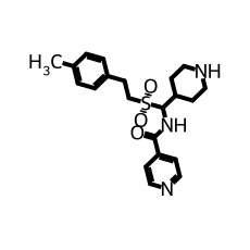 Cc1ccc(CCS(=O)(=O)C(NC(=O)c2ccncc2)C2CCNCC2)cc1